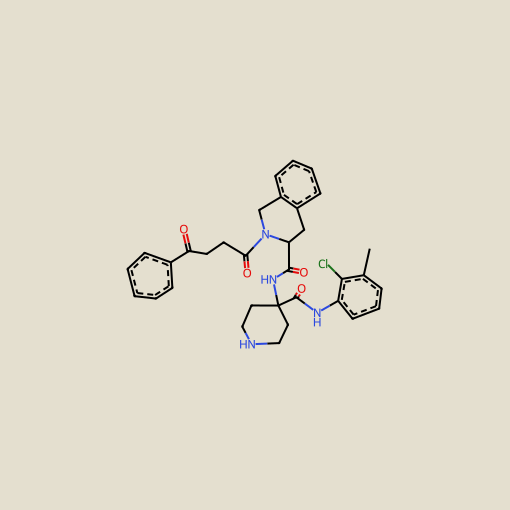 Cc1cccc(NC(=O)C2(NC(=O)C3Cc4ccccc4CN3C(=O)CCC(=O)c3ccccc3)CCNCC2)c1Cl